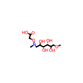 COCC(O)[C@@H](O)[C@H](O)C(O)CN(C)OCC(=O)O